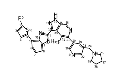 Fc1ccc(-c2cccc3[nH]c(-c4n[nH]c5cnc(-c6cncc(CN7CCCC7)c6)c(F)c45)nc23)s1